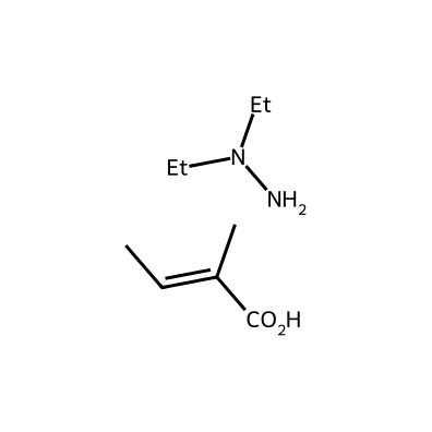 CC=C(C)C(=O)O.CCN(N)CC